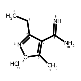 CCc1noc(C)c1C(=N)N.Cl